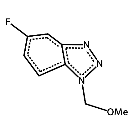 COCn1nnc2cc(F)ccc21